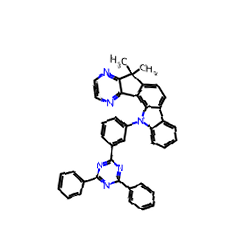 CC1(C)c2ccc3c4ccccc4n(-c4cccc(-c5nc(-c6ccccc6)nc(-c6ccccc6)n5)c4)c3c2-c2nccnc21